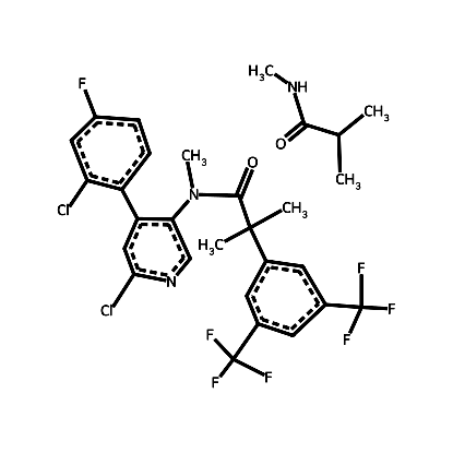 CN(C(=O)C(C)(C)c1cc(C(F)(F)F)cc(C(F)(F)F)c1)c1cnc(Cl)cc1-c1ccc(F)cc1Cl.CNC(=O)C(C)C